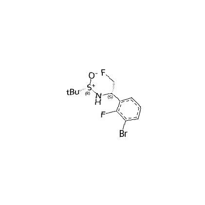 CC(C)(C)[S@+]([O-])N[C@H](CF)c1cccc(Br)c1F